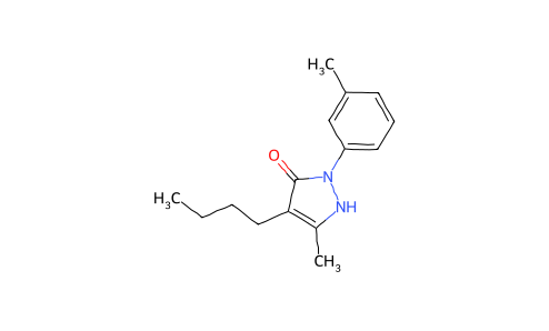 CCCCc1c(C)[nH]n(-c2cccc(C)c2)c1=O